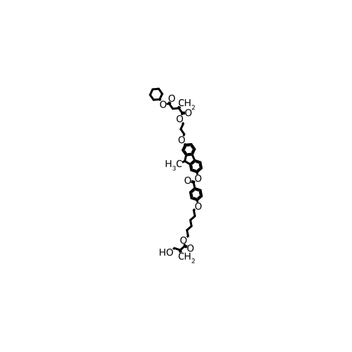 C=C(CO)C(=O)OCCCCCCOc1ccc(C(=O)Oc2ccc3c(c2)C(C)c2cc(OCCCOC(=O)C(=C)CC(=O)OC4CCCCC4)ccc2-3)cc1